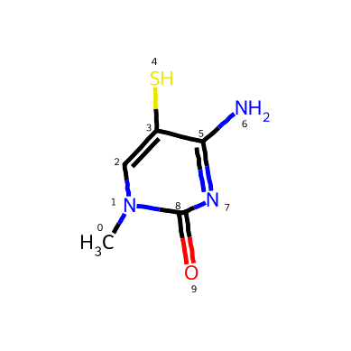 Cn1cc(S)c(N)nc1=O